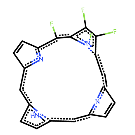 Fc1c(F)c2c(F)c3nc(cc4ccc(cc5nc(cc1n2F)C=C5)[nH]4)C=C3